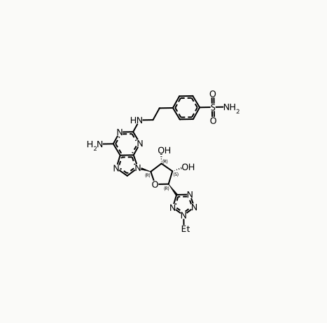 CCn1nnc([C@H]2O[C@@H](n3cnc4c(N)nc(NCCc5ccc(S(N)(=O)=O)cc5)nc43)[C@H](O)[C@@H]2O)n1